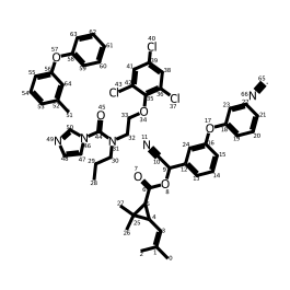 CC(C)=CC1C(C(=O)OC(C#N)c2cccc(Oc3ccccc3)c2)C1(C)C.CCCN(CCOc1c(Cl)cc(Cl)cc1Cl)C(=O)n1ccnc1.[CH2]c1cccc(Oc2ccccc2)c1.[C]#N